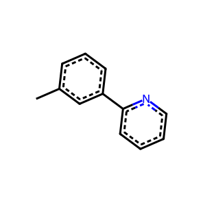 Cc1cccc(-c2ccccn2)c1